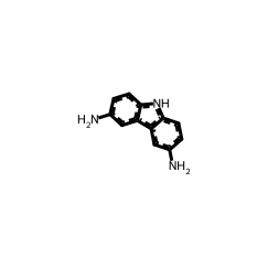 Nc1ccc2[nH]c3ccc(N)cc3c2c1